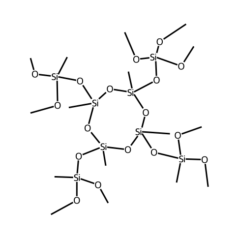 CO[Si](C)(OC)O[Si]1(C)O[Si](C)(O[Si](C)(OC)OC)O[Si](C)(O[Si](OC)(OC)OC)O[Si](C)(O[Si](C)(OC)OC)O1